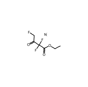 CCOC(=O)C(F)(F)C(=O)CF.[N]